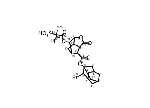 CCC1C2CC3CC(C2)CC1(OC(=O)C1C2CC4C(OC(=O)C41)C2OC(=O)C(F)(F)S(=O)(=O)O)C3